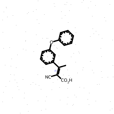 C/C(=C(/C#N)C(=O)O)c1cccc(Oc2ccccc2)c1